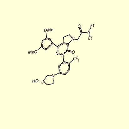 CCN(CC)C(=O)CN1CCc2c(-c3cc(OC)cc(OC)c3)nn(-c3cc(N4CC[C@H](O)C4)ccc3C(F)(F)F)c(=O)c21